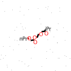 CCCOCC(=O)OCCOCC(=O)C(C)C